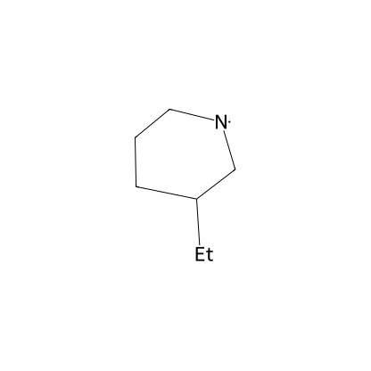 CCC1CCC[N]C1